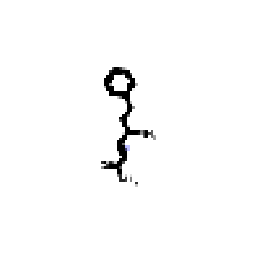 NC(=O)/C=C/C(N)CCc1ccccc1